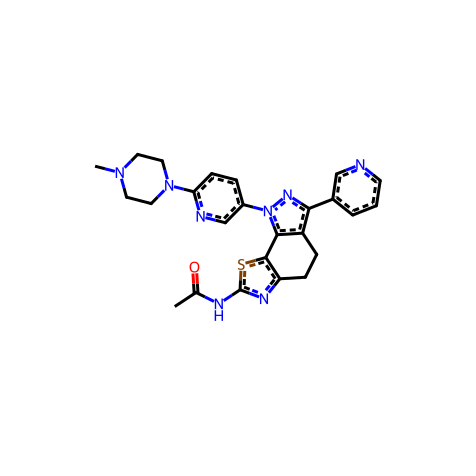 CC(=O)Nc1nc2c(s1)-c1c(c(-c3cccnc3)nn1-c1ccc(N3CCN(C)CC3)nc1)CC2